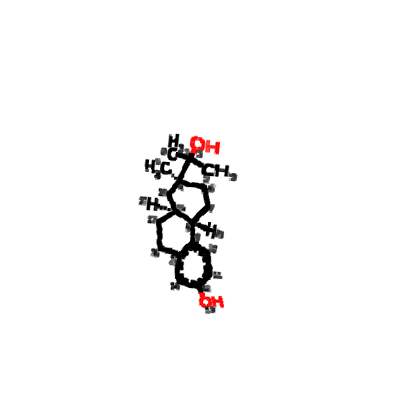 CC(C)(O)[C@@]1(C)CC[C@@H]2c3ccc(O)cc3CC[C@H]2C1